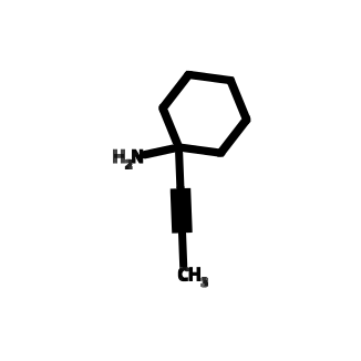 CC#CC1(N)CCCCC1